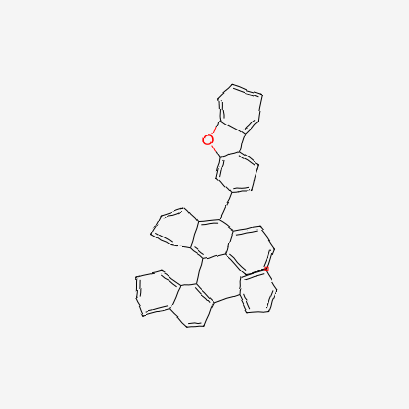 c1ccc(-c2ccc3ccccc3c2-c2c3ccccc3c(-c3ccc4c(c3)oc3ccccc34)c3ccccc23)cc1